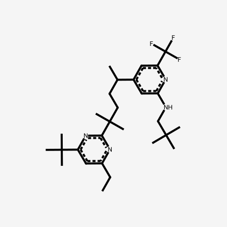 CCc1cc(C(C)(C)C)nc(C(C)(C)CCC(C)c2cc(NCC(C)(C)C)nc(C(F)(F)F)c2)n1